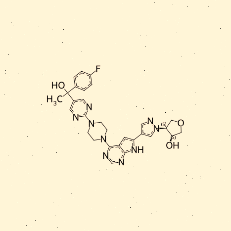 CC(O)(c1ccc(F)cc1)c1cnc(N2CCN(c3ncnc4[nH]c(-c5cnn([C@H]6COC[C@H]6O)c5)cc34)CC2)nc1